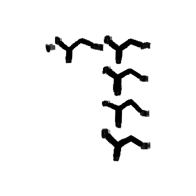 O=C([O-])CO.O=C([O-])CO.O=C([O-])CO.O=C([O-])CO.O=C([O-])CO.[V+5]